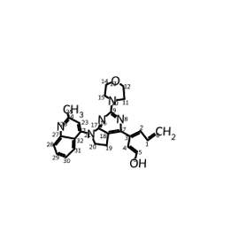 C=C/C=C(\C=C\O)c1nc(N2CCOCC2)nc2c1CCN2c1cc(C)nc2ccccc12